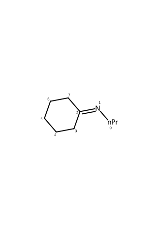 [CH2]CCN=C1CCCCC1